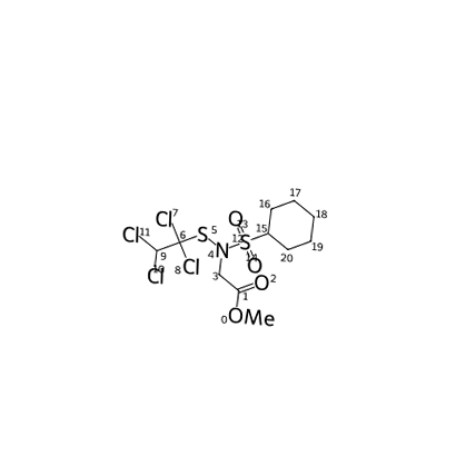 COC(=O)CN(SC(Cl)(Cl)C(Cl)Cl)S(=O)(=O)C1CCCCC1